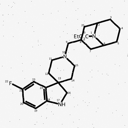 CCOC(=O)N1C2CCCC1CC(CN1CCC3(CC1)CNc1ccc(F)cc13)C2